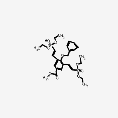 CCOP(=O)(/C=C/c1cc(C(=O)OC)cc(/C=C/[PH](O)(OCC)OCC)c1OCc1ccccc1)OCC